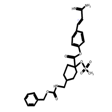 CS(=O)(=O)OC1(C(=O)Oc2ccc(/C=C/C(=N)N)cc2)CCC(CNC(=O)OCc2ccccc2)CC1